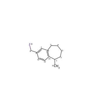 CC1CCCCc2cc(CI)ccc21